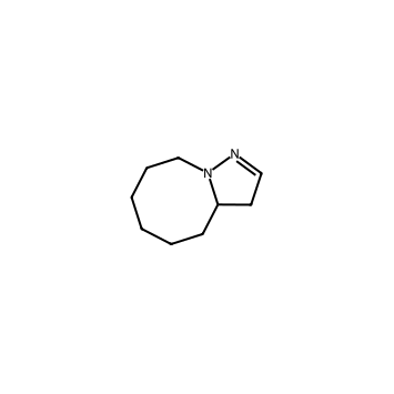 C1=NN2CCCCCCC2C1